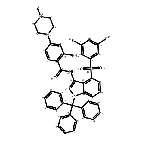 CN1CCN(c2ccc(C(=O)Nc3nn(C(c4ccccc4)(c4ccccc4)c4ccccc4)c4cccc(S(=O)(=O)c5cc(F)cc(F)c5)c34)c(N)c2)CC1